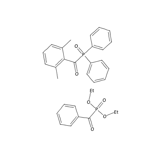 CCOP(=O)(OCC)C(=O)c1ccccc1.Cc1cccc(C)c1C(=O)P(=O)(c1ccccc1)c1ccccc1